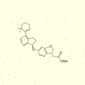 COC(=O)CC1COc2cc(O[C@@H]3CCc4c(C5=CCCCC5(C)C)cccc43)ccc21